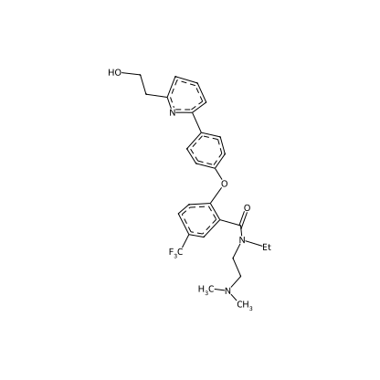 CCN(CCN(C)C)C(=O)c1cc(C(F)(F)F)ccc1Oc1ccc(-c2cccc(CCO)n2)cc1